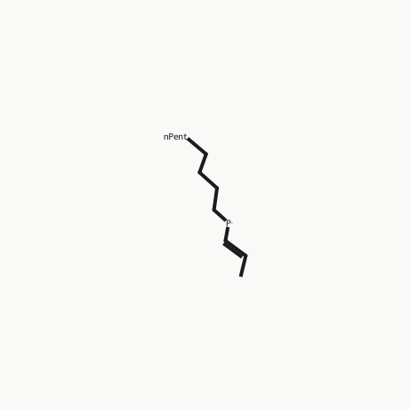 CC=C[P]CCCCCCCCC